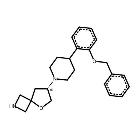 c1ccc(COc2ccccc2C2CCN([C@@H]3COC4(CNC4)C3)CC2)cc1